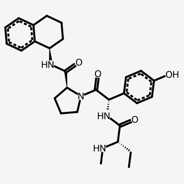 CC[C@H](NC)C(=O)N[C@H](C(=O)N1CCC[C@H]1C(=O)N[C@@H]1CCCc2ccccc21)c1ccc(O)cc1